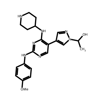 COc1ccc(Nc2ncc(-c3cnn(C(C)O)c3)c(NC3CCNCC3)n2)cc1